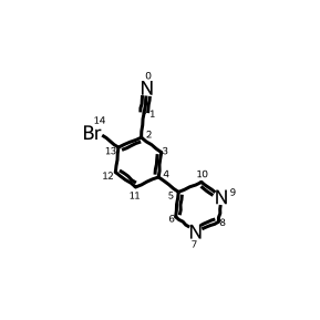 N#Cc1cc(-c2cncnc2)ccc1Br